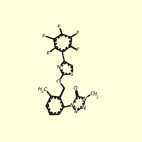 Cc1cccc(-n2nnn(C)c2=O)c1COc1nc(-c2c(F)c(F)c(F)c(F)c2F)cs1